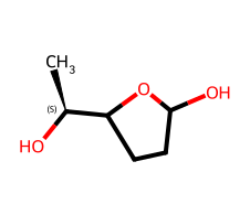 C[C@H](O)C1CCC(O)O1